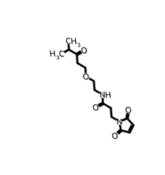 CC(C)C(=O)CCOCCNC(=O)CCN1C(=O)C=CC1=O